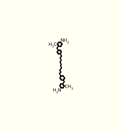 Cc1cc(N)ccc1Cc1ccc(CCCCCCCCCCc2ccc(Cc3ccc(N)cc3C)cc2)cc1